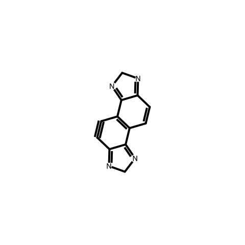 c1c2c(c3ccc4c(c3c#1)=NCN=4)=NCN=2